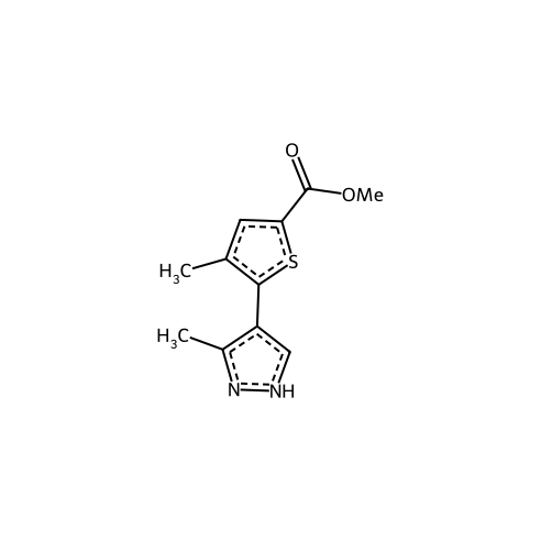 COC(=O)c1cc(C)c(-c2c[nH]nc2C)s1